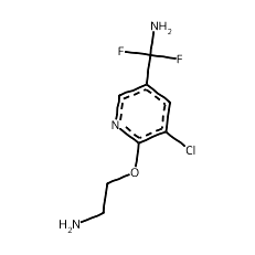 NCCOc1ncc(C(N)(F)F)cc1Cl